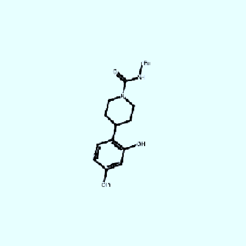 CCCCNC(=O)N1CCC(c2ccc(O)cc2O)CC1